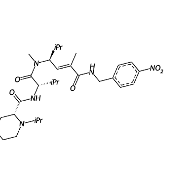 C/C(=C\[C@H](C(C)C)N(C)C(=O)[C@@H](NC(=O)[C@H]1CCCCN1C(C)C)C(C)C)C(=O)NCc1ccc([N+](=O)[O-])cc1